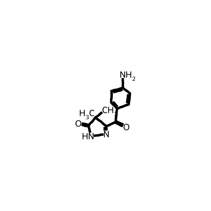 CC1(C)C(=O)NN=C1C(=O)c1ccc(N)cc1